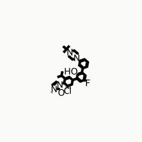 CC(C)C1=CC(c2cc(F)cc(-c3cccc(N4CCN(C(C)(C)C)CC4)c3)c2O)C[C@H](Cl)C1n1ccn(C)c1=O